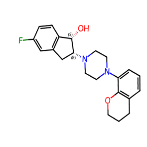 O[C@H]1c2ccc(F)cc2C[C@H]1N1CCN(c2cccc3c2OCCC3)CC1